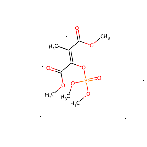 COC(=O)C(C)=C(OP(=O)(OC)OC)C(=O)OC